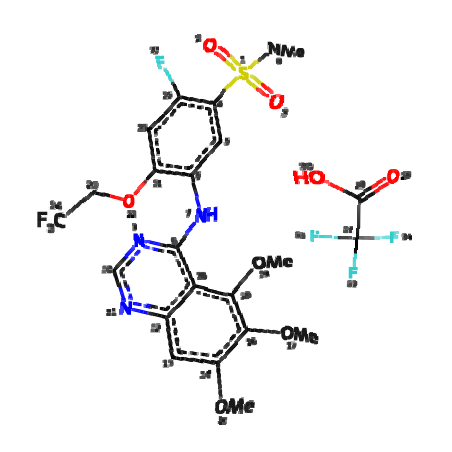 CNS(=O)(=O)c1cc(Nc2ncnc3cc(OC)c(OC)c(OC)c23)c(OCC(F)(F)F)cc1F.O=C(O)C(F)(F)F